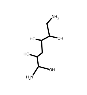 NCC(O)C(O)CC(O)C(N)O